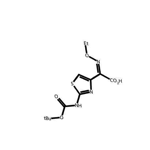 CCO/N=C(/C(=O)O)c1csc(NC(=O)OC(C)(C)C)n1